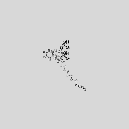 CCCCCCCCCCCC#Cc1ccccc1CC(COC(=O)O)COC(=O)O